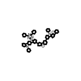 c1ccc(-c2nc(-c3ccccc3)nc(-n3c4ccc(-c5ccc6oc7ccc(-c8ccc9c(c8)c8ccc%10c%11ccccc%11oc%10c8n9-c8ccccc8)cc7c6c5)cc4c4cc5c(cc43)c3ccccc3n5-c3ccccc3)n2)cc1